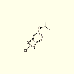 CC(C)Oc1ccc2nc(Cl)sc2c1